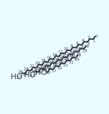 CCCCCCCCCCCCCCCCCCCCCCCCCCCO.CCCCCCCCCCCCCCCCCCCO.CCCCCCCCCCCCO